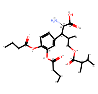 CCCC(=O)Oc1ccc(C(C(C)COC(=O)C(C)C(C)C)[C@H](N)C(=O)O)cc1OC(=O)CCC